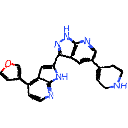 C1=C(c2cnc3[nH]nc(-c4cc5c(-c6ccoc6)ccnc5[nH]4)c3c2)CCNC1